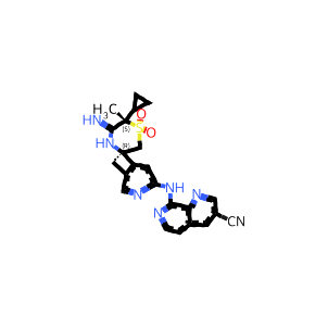 C[C@]1(C2CC2)C(=N)N[C@@]2(Cc3cnc(Nc4nccc5cc(C#N)cnc45)cc32)CS1(=O)=O